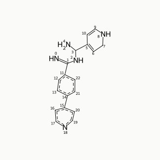 N=C(NC(N)C1=CCNC=C1)c1ccc(-c2ccncc2)cc1